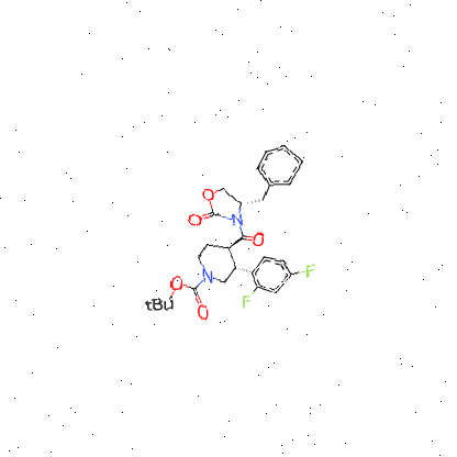 CC(C)(C)OC(=O)N1CC[C@@H](C(=O)N2C(=O)OC[C@@H]2Cc2ccccc2)[C@H](c2ccc(F)cc2F)C1